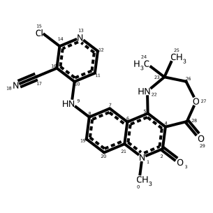 Cn1c(=O)c2c(c3cc(Nc4ccnc(Cl)c4C#N)ccc31)NC(C)(C)COC2=O